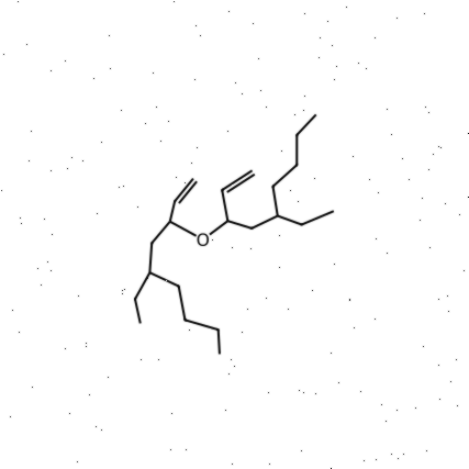 C=CC(CC(CC)CCCC)OC(C=C)CC(CC)CCCC